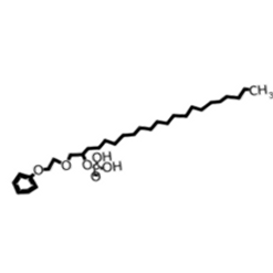 CCCCCCCCCCCCCCCCCCCCC(COCCOc1ccccc1)OP(=O)(O)O